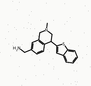 CN1Cc2cc(CN)ccc2C(c2cc3ccccc3s2)C1